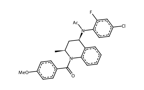 COc1ccc(C(=O)N2c3ccccc3[C@H](N(C(C)=O)c3ccc(Cl)cc3F)C[C@@H]2C)cc1